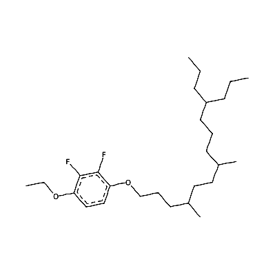 CCCC(CCC)CCCC(C)CCC(C)CCCOc1ccc(OCC)c(F)c1F